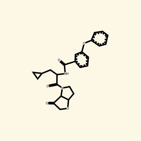 O=C(NC(CC1CC1)C(=O)N1CCC2OCC(=O)C21)c1cccc(Oc2ccccc2)c1